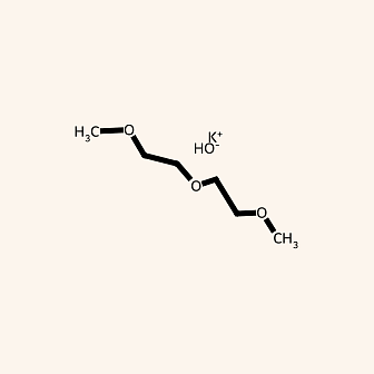 COCCOCCOC.[K+].[OH-]